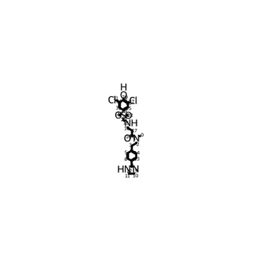 CN(CCc1ccc(C2=NCCN2)cc1)C(=O)CCNCS(=O)(=O)c1cc(Cl)c(O)c(Cl)c1